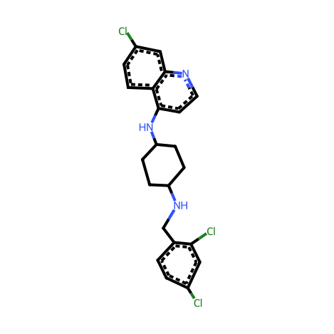 Clc1ccc(CNC2CCC(Nc3ccnc4cc(Cl)ccc34)CC2)c(Cl)c1